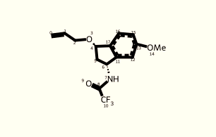 C=CCO[C@H]1C[C@@H](NC(=O)C(F)(F)F)c2cc(OC)ccc21